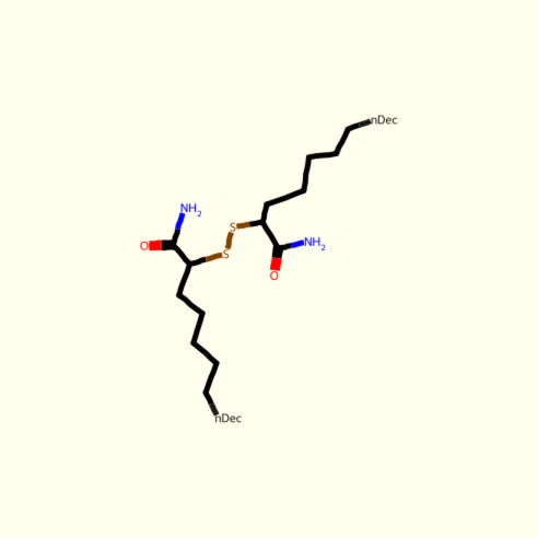 CCCCCCCCCCCCCCCC(SSC(CCCCCCCCCCCCCCC)C(N)=O)C(N)=O